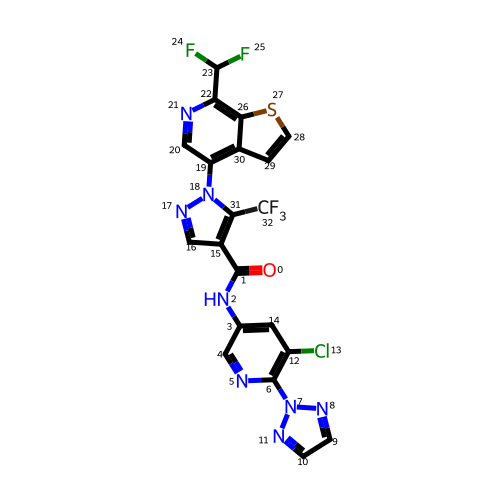 O=C(Nc1cnc(-n2nccn2)c(Cl)c1)c1cnn(-c2cnc(C(F)F)c3sccc23)c1C(F)(F)F